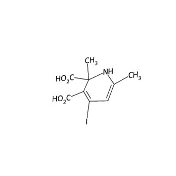 CC1=CC(I)=C(C(=O)O)C(C)(C(=O)O)N1